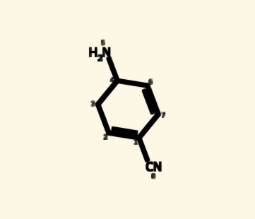 N#CC1=CCC(N)C=C1